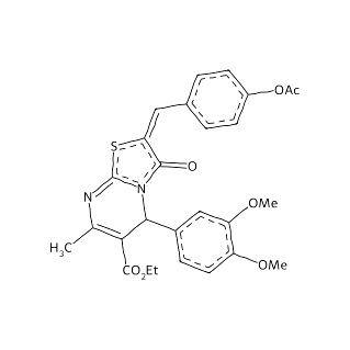 CCOC(=O)C1=C(C)N=c2sc(=Cc3ccc(OC(C)=O)cc3)c(=O)n2C1c1ccc(OC)c(OC)c1